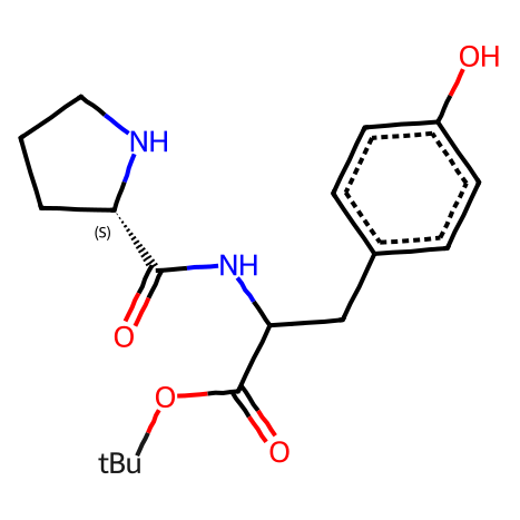 CC(C)(C)OC(=O)C(Cc1ccc(O)cc1)NC(=O)[C@@H]1CCCN1